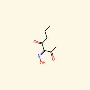 CCCC(=O)/C(=N/O)C(C)=O